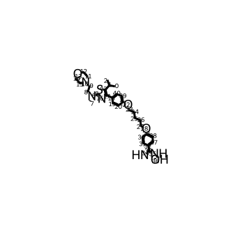 CC(C)c1sc(N(C)CCN2CCOCC2)nc1-c1ccc(OCCCCCOc2ccc(C(=N)NO)cc2)cc1